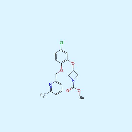 CC(C)(C)OC(=O)N1CC(Oc2cc(Cl)ccc2OCc2cccc(C(F)(F)F)n2)C1